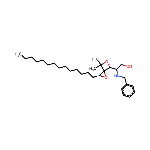 CCCCCCCCCCCCCC[C@@H]1OC12[C@@H]([C@@H](CO)NCc1ccccc1)OC2(C)C